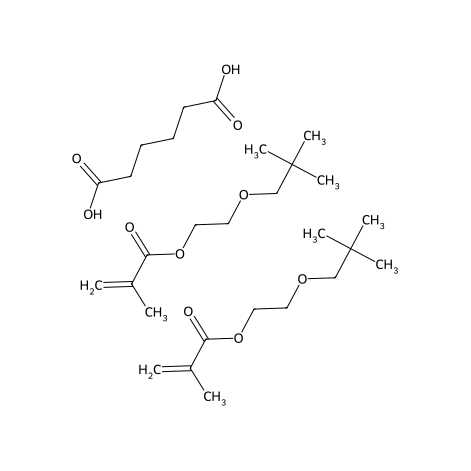 C=C(C)C(=O)OCCOCC(C)(C)C.C=C(C)C(=O)OCCOCC(C)(C)C.O=C(O)CCCCC(=O)O